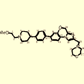 COCCN1CCC(c2ccc(-c3ccc4c(c3)OCc3nc(CN5CCOCC5)cn3-4)cc2)CC1